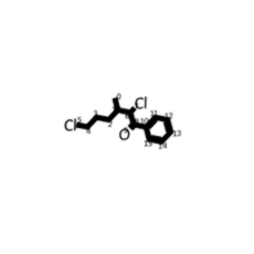 CC(CCCCl)C(Cl)C(=O)c1ccccc1